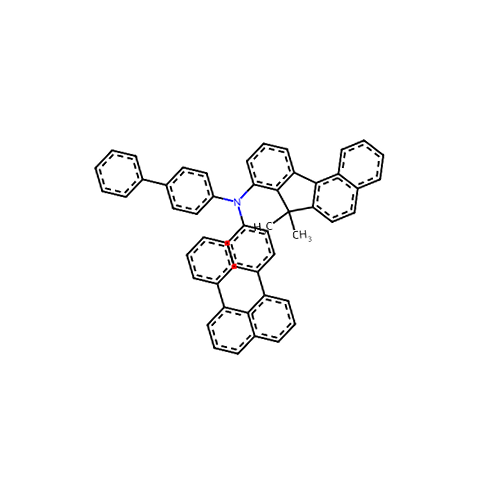 CC1(C)c2ccc3ccccc3c2-c2cccc(N(c3ccc(-c4ccccc4)cc3)c3ccc(-c4cccc5cccc(-c6ccccc6)c45)cc3)c21